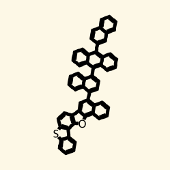 c1ccc2cc(-c3c4ccccc4c(-c4ccc(-c5cc6c7ccc8sc9ccccc9c8c7oc6c6ccccc56)c5ccccc45)c4ccccc34)ccc2c1